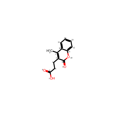 Cc1c(CCC(=O)O)c(=O)oc2ccccc12